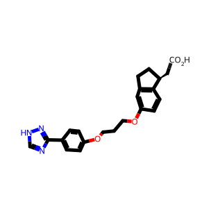 O=C(O)C[C@@H]1CCc2cc(OCCCOc3ccc(-c4nc[nH]n4)cc3)ccc21